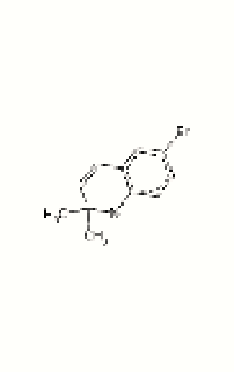 CC1(C)C=Cc2cc(Br)ccc2[N]1